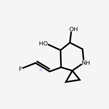 OC1CNC2(CC2)C(/C=C/F)C1O